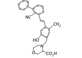 Cc1cc(CN2CCOCC2C(=O)O)c(O)cc1/C=C/c1cccc(-c2ccccc2)c1C#N